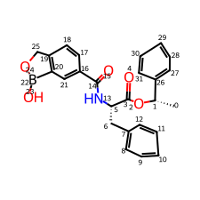 C[C@H](OC(=O)[C@H](Cc1ccccc1)NC(=O)c1ccc2c(c1)B(O)OC2)c1ccccc1